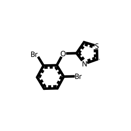 Brc1cccc(Br)c1Oc1cs[c]n1